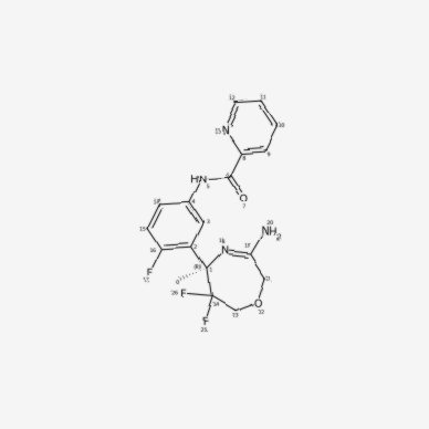 C[C@]1(c2cc(NC(=O)c3ccccn3)ccc2F)N=C(N)COCC1(F)F